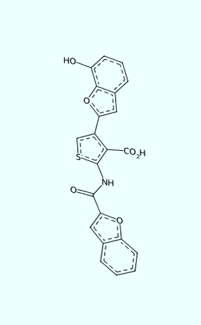 O=C(Nc1scc(-c2cc3cccc(O)c3o2)c1C(=O)O)c1cc2ccccc2o1